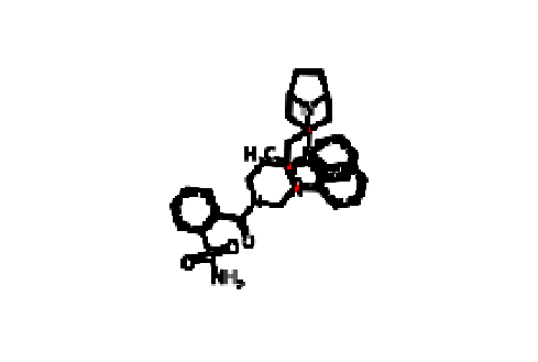 Cc1nc2ccccc2n1C1CC2CCC(C1)N2CCC1(c2ccccc2)CCN(C(=O)c2ccccc2S(N)(=O)=O)CC1